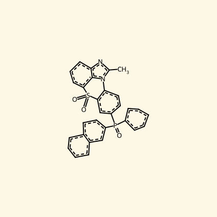 Cc1nc2cccc3c2n1-c1ccc(P(=O)(c2ccccc2)c2ccc4ccccc4c2)cc1S3(=O)=O